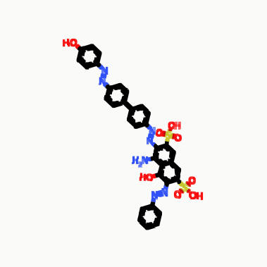 Nc1c(N=Nc2ccc(-c3ccc(N=Nc4ccc(O)cc4)cc3)cc2)c(S(=O)(=O)O)cc2cc(S(=O)(=O)O)c(N=Nc3ccccc3)c(O)c12